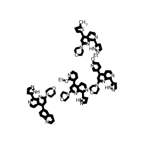 CCOc1ccc(-c2cc(N3CCOCC3)nc3c(-c4ccn[nH]4)nccc23)cn1.CCOc1ncccc1-c1cc(N2CCOCC2)nc2c(-c3ccn[nH]3)nccc12.Cc1ccc(-c2cc(N3CCOCC3)nc3c(-c4ccn[nH]4)nccc23)s1.c1cnc2ccc(-c3cc(N4CCOCC4)nc4c(-c5ccn[nH]5)nccc34)cc2c1